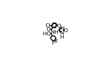 O=C(NC(O)C1CCC(F)(F)CC1)c1cc(Oc2cc[nH]c(=O)n2)ccc1Cl